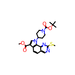 COC(=O)c1cn(C2CCN(C(=O)OC(C)(C)C)CC2)c2c1ccc1cnc(SC)nc12